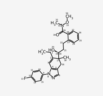 CCC1=Cc2c(cnn2-c2ccc(F)cc2)CC1(C)[C@@H](O)CCc1ccccc1C(=O)N(C)OC